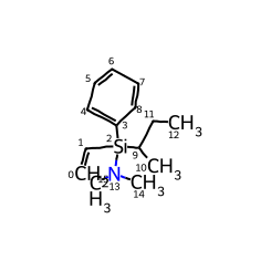 C=C[Si](c1ccccc1)(C(C)CC)N(C)C